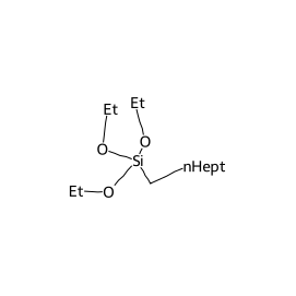 [CH2]CCCCCCC[Si](OCC)(OCC)OCC